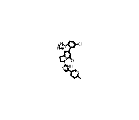 Cc1ccc(-c2cnc([C@@H]3CCc4cc(-c5cc(Cl)ccc5-n5cnnn5)cc(=O)n43)[nH]2)cn1